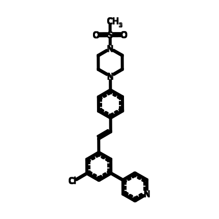 CS(=O)(=O)N1CCN(c2ccc(C=Cc3cc(Cl)cc(-c4ccncc4)c3)cc2)CC1